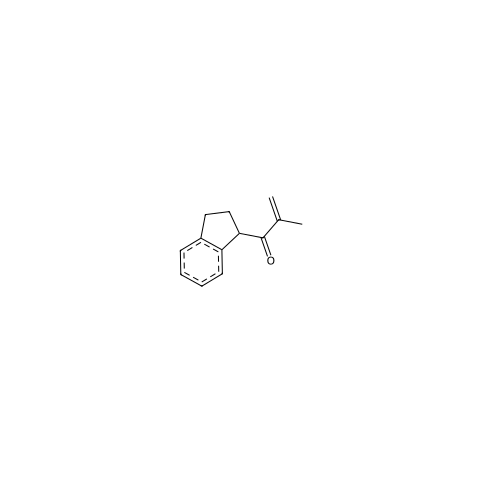 C=C(C)C(=O)C1CCc2ccccc21